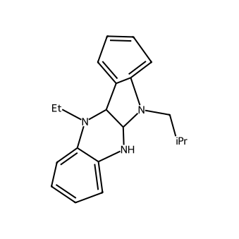 CCN1c2ccccc2NC2C1c1ccccc1N2CC(C)C